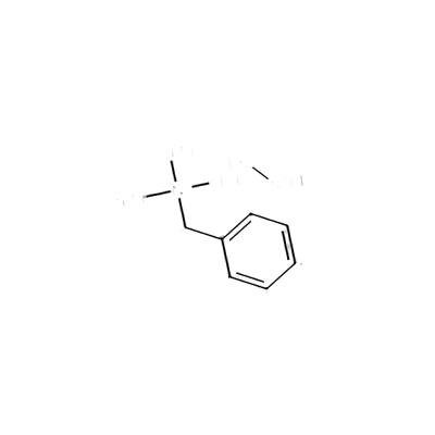 CCCC[N+](CCCC)(CCCC)Cc1ccccc1.CS(=O)(=O)O